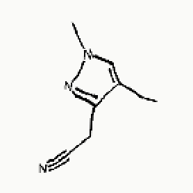 Cc1cn(C)nc1CC#N